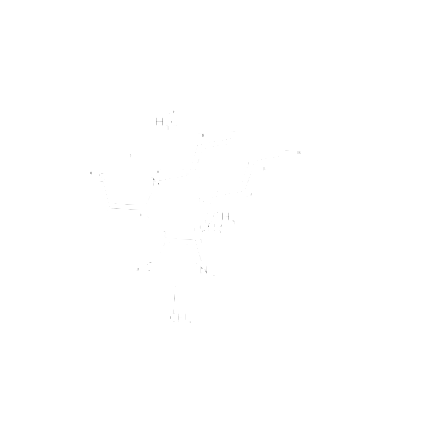 Cc1nc(C)c(C2=CSCN2c2c(C)cc(F)cc2C)s1